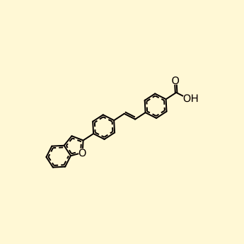 O=C(O)c1ccc(C=Cc2ccc(-c3cc4ccccc4o3)cc2)cc1